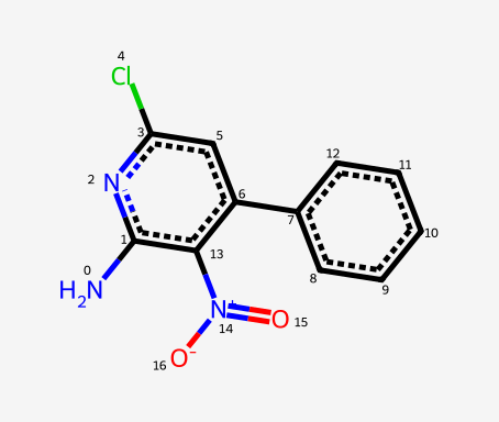 Nc1nc(Cl)cc(-c2ccccc2)c1[N+](=O)[O-]